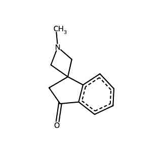 CN1CC2(CC(=O)c3ccccc32)C1